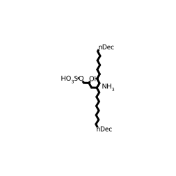 CCCCCCCCCCCCCCCCCCC(CCCCCCCCCCCCCCCCCC)CC(O)COS(=O)(=O)O.N